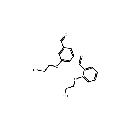 O=Cc1cccc(OCCO)c1.O=Cc1ccccc1OCCO